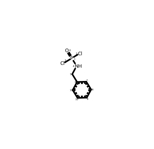 O=P(Cl)(Cl)NCc1ccccc1